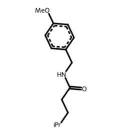 COc1ccc(CNC(=O)CCC(C)C)cc1